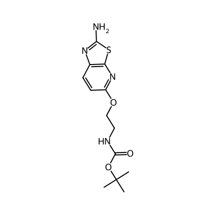 CC(C)(C)OC(=O)NCCOc1ccc2nc(N)sc2n1